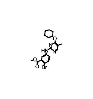 COC(=O)c1cc(Nc2ncc(C)c(OC3CCCCC3)n2)ccc1Br